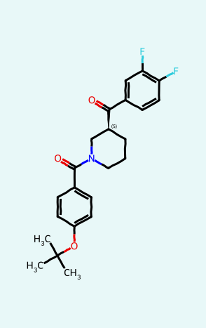 CC(C)(C)Oc1ccc(C(=O)N2CCC[C@H](C(=O)c3ccc(F)c(F)c3)C2)cc1